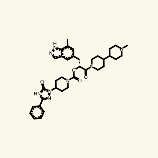 Cc1cc(C[C@@H](OC(=O)N2CCC(n3nc(-c4ccccc4)[nH]c3=O)CC2)C(=O)N2CCC(C3CCN(C)CC3)CC2)cc2cn[nH]c12